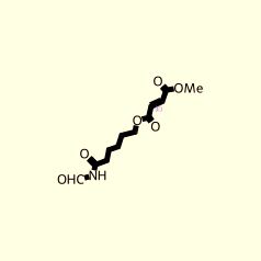 COC(=O)/C=C/C(=O)OCCCCCC(=O)NC=O